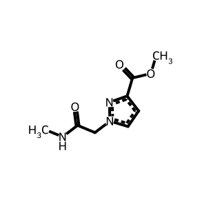 CNC(=O)Cn1ccc(C(=O)OC)n1